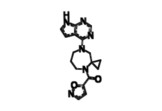 O=C(c1ccno1)N1CCCN(c2ncnc3[nH]ccc23)CC12CC2